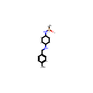 CCCCc1ccc(CNC2CCC(N[S+]([O-])C(C)C)CC2)cc1